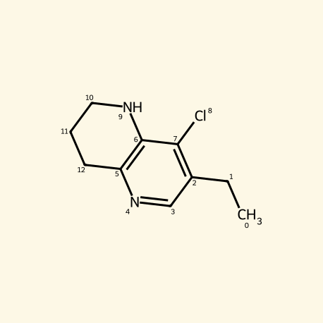 CCc1cnc2c(c1Cl)NCCC2